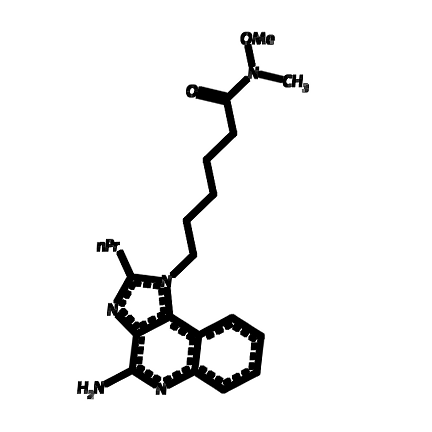 CCCc1nc2c(N)nc3ccccc3c2n1CCCCCC(=O)N(C)OC